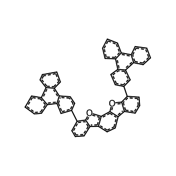 c1cc(-c2ccc3c4ccccc4c4ccccc4c3c2)c2oc3c(ccc4c5cccc(-c6ccc7c8ccccc8c8ccccc8c7c6)c5oc43)c2c1